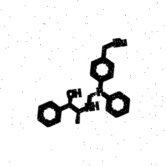 CCC(C)Cc1ccc([P@@](CN[C@@H](C)[C@H](O)c2ccccc2)c2ccccc2)cc1